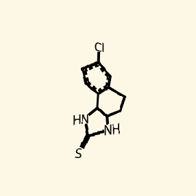 S=C1NC2CCc3cc(Cl)ccc3C2N1